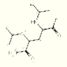 CC(=O)C(CC(SC(C)C)C(N)=O)NC(C)C